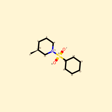 C[C@H]1CCCN(S(=O)(=O)C2CCCCC2)C1